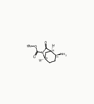 CC(C)(C)OC(=O)N1C(=O)[C@@H]2C[C@H]1CC[C@@H]2N